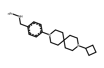 CCCNCc1ccc(N2CCC3(CC2)CCN(C2CCC2)CC3)cc1